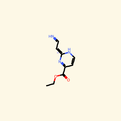 CCOC(=O)C1=N/C(=C/C=N)NC=C1